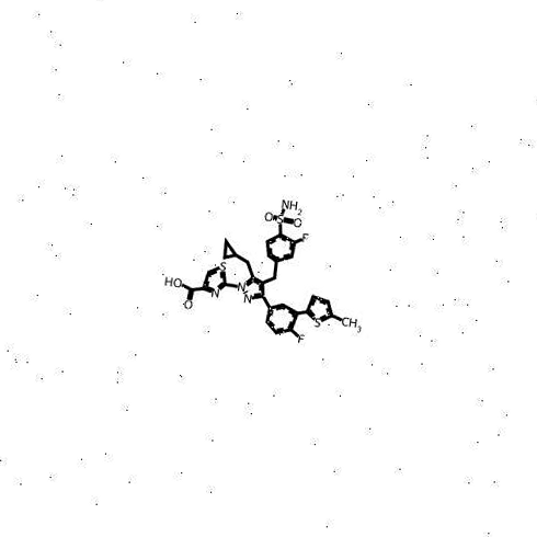 Cc1ccc(-c2cc(-c3nn(-c4nc(C(=O)O)cs4)c(CC4CC4)c3Cc3ccc(S(N)(=O)=O)c(F)c3)ccc2F)s1